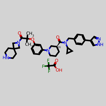 CC(C)(Oc1cccc(N2CCC[C@H](C(=O)N(Cc3ccc(-c4cn[nH]c4)cc3)C3CC3)C2)c1)C(=O)N1CC2(CCNCC2)C1.O=C(O)C(F)(F)F